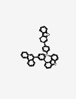 C1=C(c2ccc(Nc3cccc4oc5cccc(-c6cccc(-c7cc8ccccc8c8ccccc78)c6)c5c34)cc2)CCc2c1oc1ccccc21